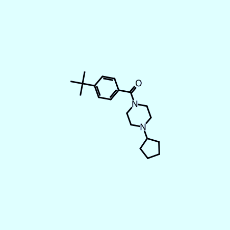 CC(C)(C)c1ccc(C(=O)N2CCN(C3CCCC3)CC2)cc1